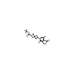 Cc1cn(C2CC3(C2)CN(C(=O)OC(C)(C)C)C3)c(=O)c2c1C(=O)OC2